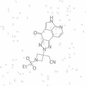 CCS(=O)(=O)N1CC(CC#N)(n2nc3c(n2)-c2ccnc4[nH]cc(c24)C3=O)C1